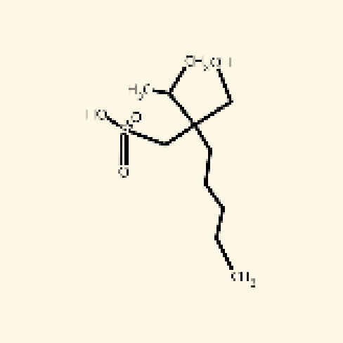 CCCCCC(CO)(CS(=O)(=O)O)C(C)C